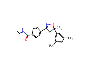 O=C(NCC(F)(F)F)c1ccc(C2=NOC(c3cc(C(F)(F)F)cc(C(F)(F)F)c3)(C(F)(F)F)C2)cc1